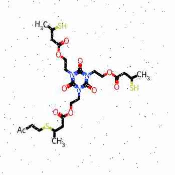 CC(=O)CCSC(C)CC(=O)OCCn1c(=O)n(CCOC(=O)CC(C)S)c(=O)n(CCOC(=O)CC(C)S)c1=O